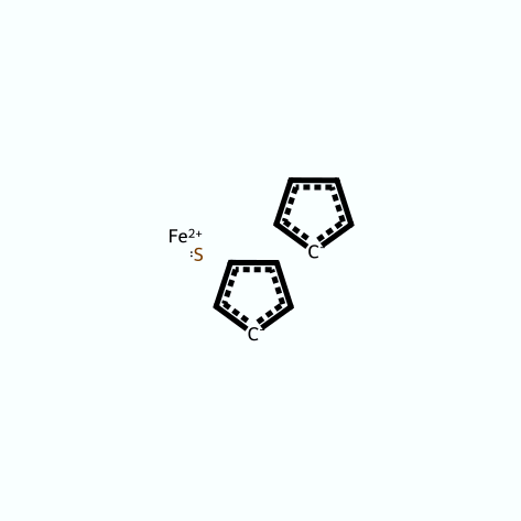 [Fe+2].[S].c1cc[cH-]c1.c1cc[cH-]c1